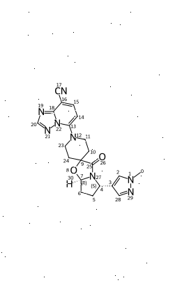 Cn1cc([C@@H]2CC[C@H]3OC4(CCN(c5ccc(C#N)c6ncnn56)CC4)C(=O)N32)cn1